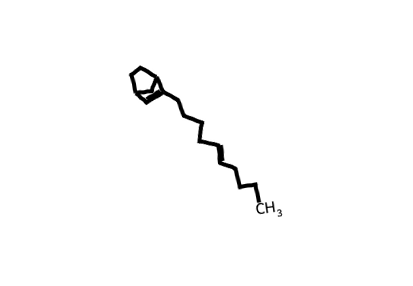 CCCCC=CCCCCC1=CC2CCC1C2